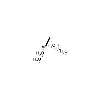 CC(C)=O.O.O.O.O.O